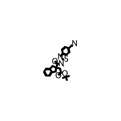 CN(C(=O)C1(CC(=O)OC(C)(C)C)Cc2ccccc2C1)c1nc2ccc(C#N)cc2s1